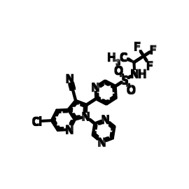 C[C@H](NS(=O)(=O)c1ccc(-c2c(C#N)c3cc(Cl)cnc3n2-c2cnccn2)nc1)C(F)(F)F